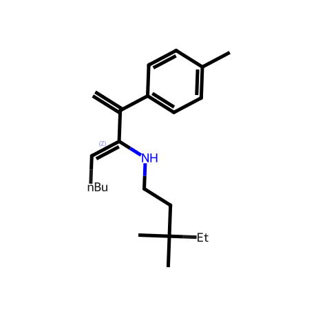 C=C(/C(=C/CCCC)NCCC(C)(C)CC)c1ccc(C)cc1